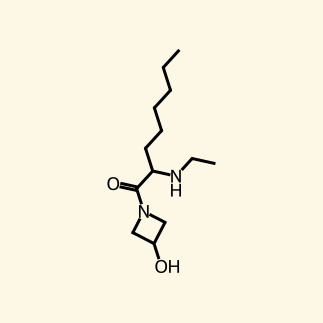 CCCCCCC(NCC)C(=O)N1CC(O)C1